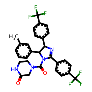 Cc1cccc(C2C(c3ccc(C(F)(F)F)cc3)N=C(c3ccc(C(F)(F)F)cc3)N2C(=O)N2CCNC(=O)C2)c1